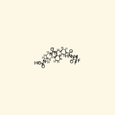 O=C(NNC(=O)C(F)(F)F)c1ccc(CN(C(=O)N2CCC3(CC2)CN(C(=O)O)C3)c2ccccc2)cc1